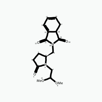 COC(CN1C(=O)CC[C@H]1CN1C(=O)C2=CC=CCC2C1=O)OC